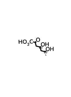 C[C@@H](O)C[C@H](O)CC(=O)C(=O)O